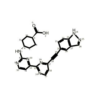 O=C(O)[C@H]1CC[C@H](Nc2nccc(-c3nccc(C#Cc4ccc5[nH]ncc5c4)n3)n2)CC1